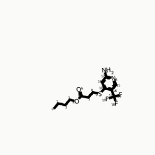 CCCCOC(=O)CCSc1cc(N)ncc1C(F)(F)F